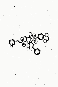 CC(CS(=O)(=O)CCc1cccnc1)C(=O)N([C@H](N)[C@@H](C)Cc1ccccc1)S(=O)(=O)c1ccc2c(c1)OCCO2